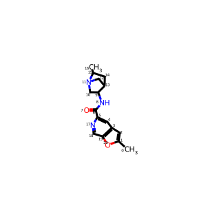 Cc1cc2cc(C(=O)NC3CN4CC3CC4C)ncc2o1